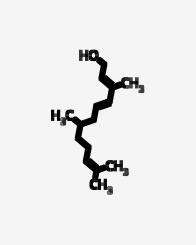 CC(C)=CCCC(C)CC=CC(C)=CCO